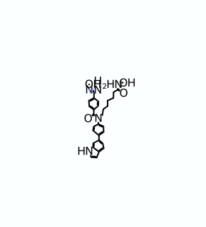 N/C(=N\O)c1ccc(C(=O)N(CCCCCCC(=O)NO)c2ccc(-c3ccc4cc[nH]c4c3)cc2)cc1